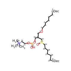 CCCCCCCCCCCCCCCCOCC(COP(O)OCC[N+](C)(C)C)C[S+]([O-])CCCCCCCCCCCCCCCC